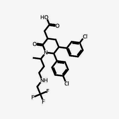 CC(CCNCC(F)(F)F)N1C(=O)C(CC(=O)O)CC(c2cccc(Cl)c2)C1c1ccc(Cl)cc1